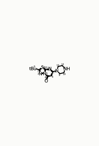 CC(C)(C)c1nn2c(=O)cc(N3CCNCC3)nc2s1